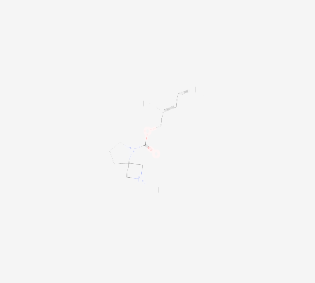 C=C/C=C(\C)COC(=O)N1CCCC12CN(C)C2